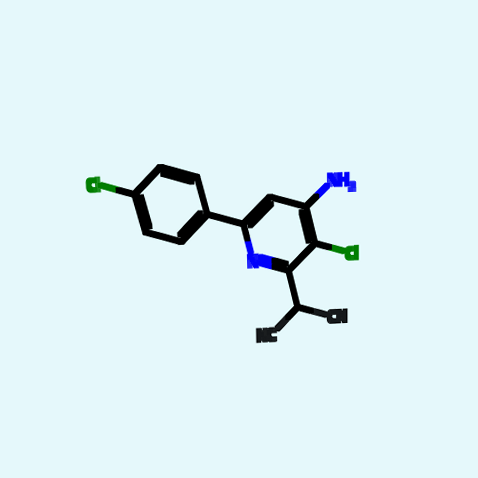 N#CC(C#N)c1nc(-c2ccc(Cl)cc2)cc(N)c1Cl